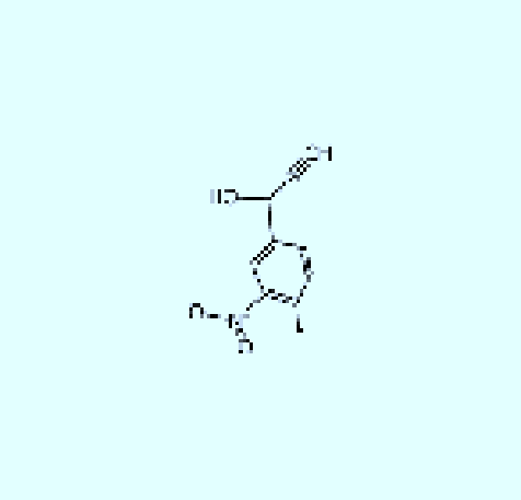 C#CC(O)c1ccc(F)c([N+](=O)[O-])c1